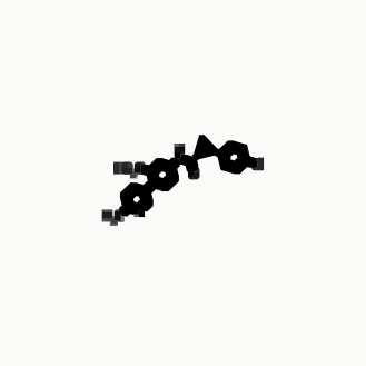 Cc1ccc(-c2ccc(NC(=O)[C@@H]3C[C@H]3c3ccc(Cl)cc3)cc2C(=O)O)cn1